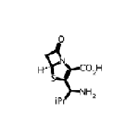 CC(C)C(N)C1=C(C(=O)O)N2C(=O)C[C@@H]2S1